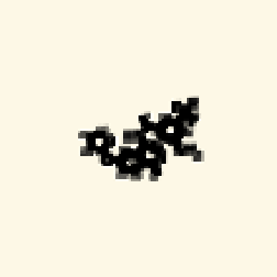 Cc1nnc(NC(C)c2cc(N)cc(C(F)(F)F)c2)c2cc(O[C@H]3CCCO3)ccc12